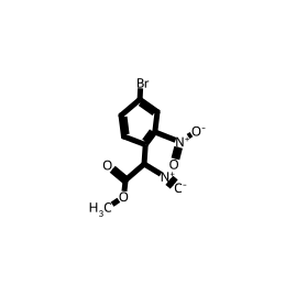 [C-]#[N+]C(C(=O)OC)c1ccc(Br)cc1[N+](=O)[O-]